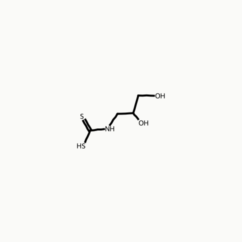 OCC(O)CNC(=S)S